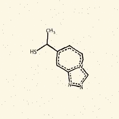 CC(S)c1ccn2cnnc2c1